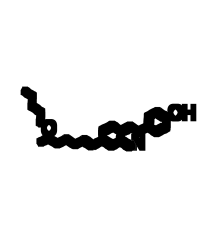 CCCCCOC(C)CCC/C=C/c1ccc2cc(-c3ccc(O)cc3)ncc2c1